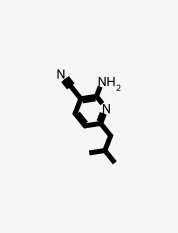 CC(C)Cc1ccc(C#N)c(N)n1